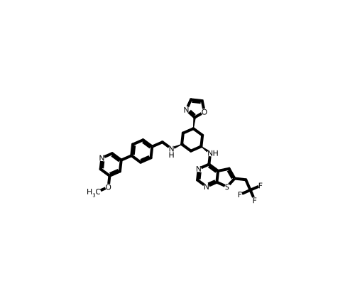 COc1cncc(-c2ccc(CN[C@@H]3C[C@H](Nc4ncnc5sc(CC(F)(F)F)cc45)C[C@H](c4ncco4)C3)cc2)c1